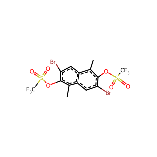 Cc1c(OS(=O)(=O)C(F)(F)F)c(Br)cc2c(C)c(OS(=O)(=O)C(F)(F)F)c(Br)cc12